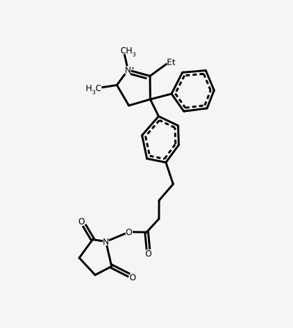 CCC1=[N+](C)C(C)CC1(c1ccccc1)c1ccc(CCCC(=O)ON2C(=O)CCC2=O)cc1